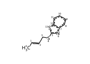 CC=CCSc1nc2ccccc2s1